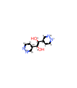 O/C(=C(/O)c1ccnnc1)c1ccnnc1